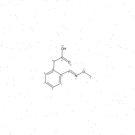 CON=Cc1ccccc1CC(=O)O